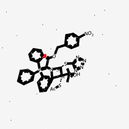 CC(=O)S[C@]1(C(C)(C)O)C(=O)N(C(C(=O)OCc2ccc([N+](=O)[O-])cc2)=P(c2ccccc2)(c2ccccc2)c2ccccc2)[C@@H]1Sc1nnnn1C